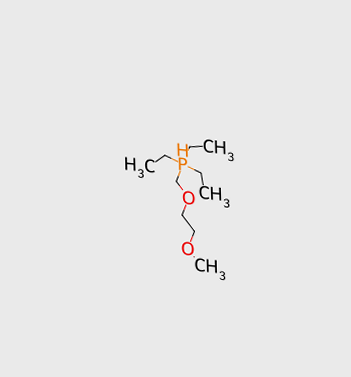 CC[PH](CC)(CC)COCCOC